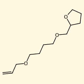 C=CCOCCCCOCC1CCCO1